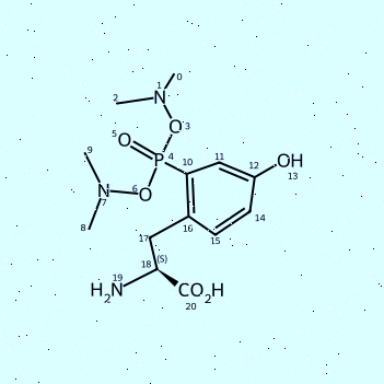 CN(C)OP(=O)(ON(C)C)c1cc(O)ccc1C[C@H](N)C(=O)O